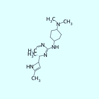 C/C=N\C(=N/[C@@H](C)C1C=C(C)N1)NC1CCC(N(C)C)CC1